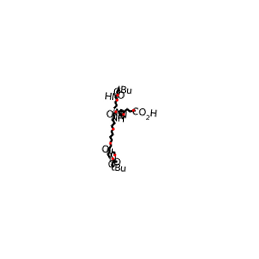 CC(C)(C)OC(=O)NCCCC[C@@H](C(=O)NCCCCCCCCCCC(=O)N1CCN(C(=O)OC(C)(C)C)CC1)n1cc(CCCC(=O)O)nn1